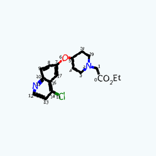 CCOC(=O)CN1CCC(Oc2ccc3nccc(Cl)c3c2)CC1